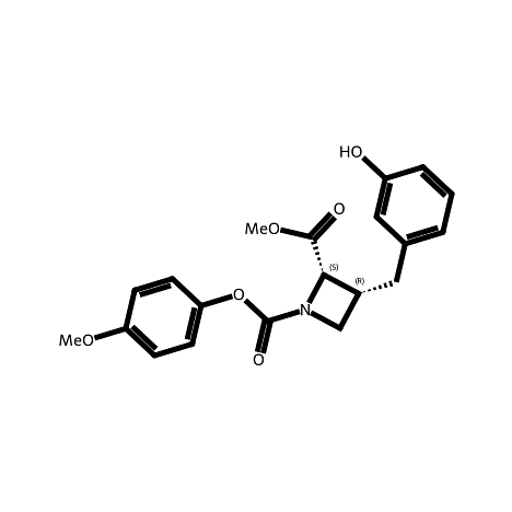 COC(=O)[C@@H]1[C@H](Cc2cccc(O)c2)CN1C(=O)Oc1ccc(OC)cc1